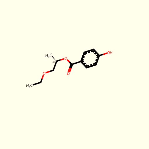 CCOC[C@H](C)OC(=O)c1ccc(O)cc1